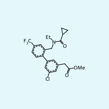 CCN(Cc1cc(C(F)(F)F)ccc1-c1cc(Cl)cc(CC(=O)OC)c1)C(=O)C1CC1